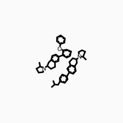 CC(C)Cc1ccc(-c2ccc3c(c2)CCC(N2CCCC2C)C3)cc1.CC1CCCN1C1CCc2cc(-c3ccccc3Oc3ccccc3)ccc2C1